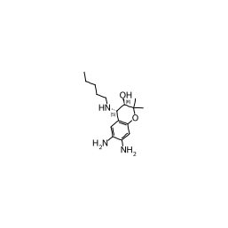 CCCCCN[C@H]1c2cc(N)c(N)cc2OC(C)(C)[C@@H]1O